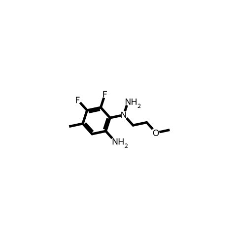 COCCN(N)c1c(N)cc(C)c(F)c1F